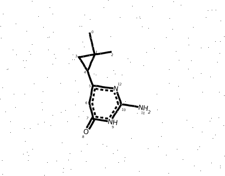 CC1(C)CC1c1cc(=O)[nH]c(N)n1